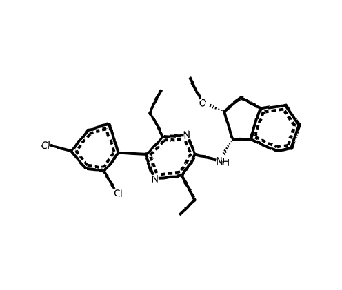 CCc1nc(-c2ccc(Cl)cc2Cl)c(CC)nc1N[C@H]1c2ccccc2C[C@H]1OC